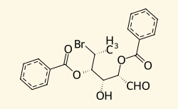 C[C@@H](Br)[C@@H](OC(=O)c1ccccc1)[C@@H](O)[C@@H](C=O)OC(=O)c1ccccc1